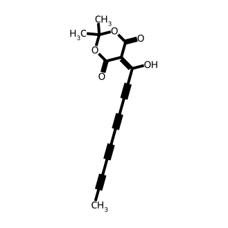 CC#CC#CC#CC#CC(O)=C1C(=O)OC(C)(C)OC1=O